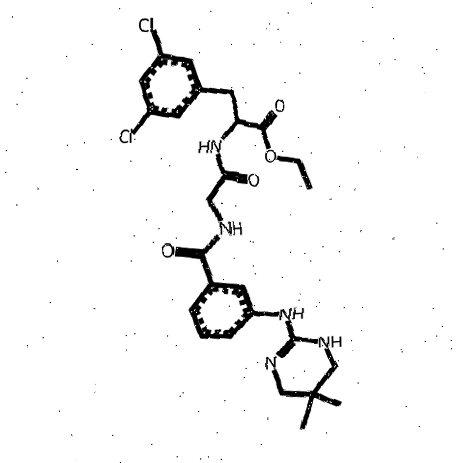 CCOC(=O)C(Cc1cc(Cl)cc(Cl)c1)NC(=O)CNC(=O)c1cccc(NC2=NCC(C)(C)CN2)c1